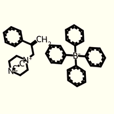 C=C(C[N+]12CCN(CC1)CC2)c1ccccc1.c1ccc([B-](c2ccccc2)(c2ccccc2)c2ccccc2)cc1